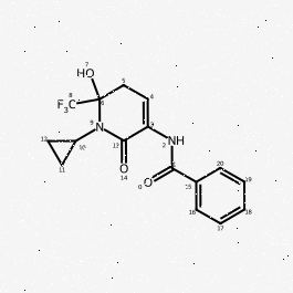 O=C(NC1=CCC(O)(C(F)(F)F)N(C2CC2)C1=O)c1ccccc1